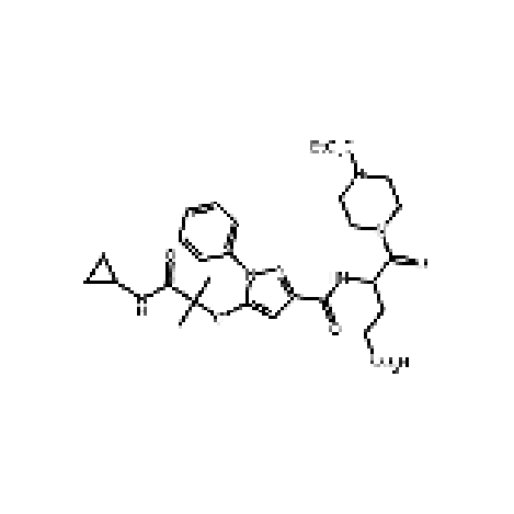 CCOC(=O)N1CCN(C(=O)C(CCC(=O)O)NC(=O)c2cc(OC(C)(C)C(=O)NC3CC3)n(-c3ccccc3)n2)CC1